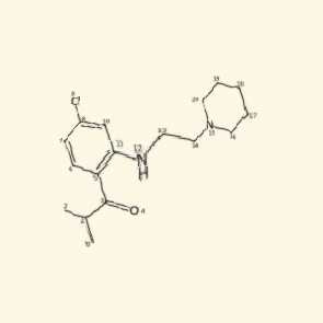 CC(C)C(=O)c1ccc(Cl)cc1NCCN1CCCCC1